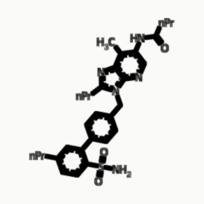 CCCC(=O)Nc1cnc2c(nc(CCC)n2Cc2ccc(-c3cc(CCC)ccc3S(N)(=O)=O)cc2)c1C